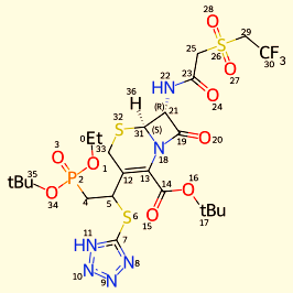 CCOP(=O)(CC(Sc1nnn[nH]1)C1=C(C(=O)OC(C)(C)C)N2C(=O)[C@@H](NC(=O)CS(=O)(=O)CC(F)(F)F)[C@@H]2SC1)OC(C)(C)C